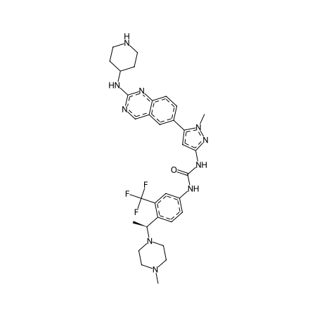 C[C@@H](c1ccc(NC(=O)Nc2cc(-c3ccc4nc(NC5CCNCC5)ncc4c3)n(C)n2)cc1C(F)(F)F)N1CCN(C)CC1